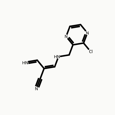 N#C/C(C=N)=C/NCc1nccnc1Cl